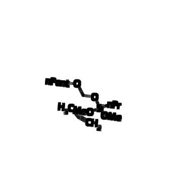 C=CC.CCCCCOCO[Si](CCC)(OC)OC